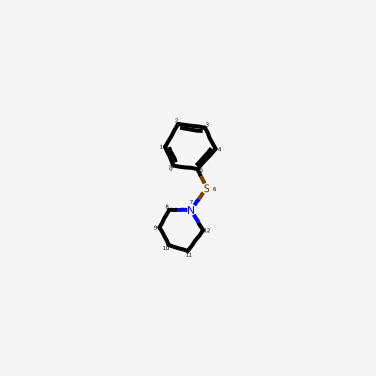 [c]1ccccc1SN1CCCCC1